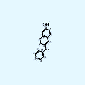 Oc1ccc2c(c1)CCC(Cc1ccncc1)=C2